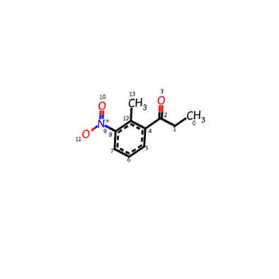 CCC(=O)c1cccc([N+](=O)[O-])c1C